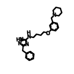 c1ccc(Cc2n[nH]c(NCCCCOc3cccc(CN4CCCCC4)c3)n2)cc1